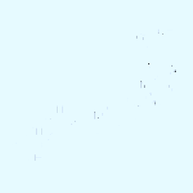 CC(C)(C)OC(=O)CC1(O)CCN(c2ccc3c(c2)CN([C@@H](CCC(=O)O)C(N)=O)C3=O)CC1